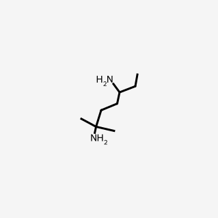 CCC(N)CCC(C)(C)N